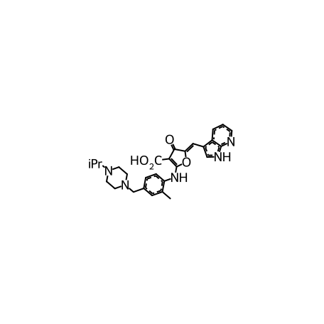 Cc1cc(CN2CCN(C(C)C)CC2)ccc1NC1=C(C(=O)O)C(=O)/C(=C/c2c[nH]c3ncccc23)O1